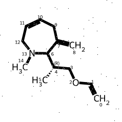 C=COC[C@H](C)C1C(=C)CC=CCN1C